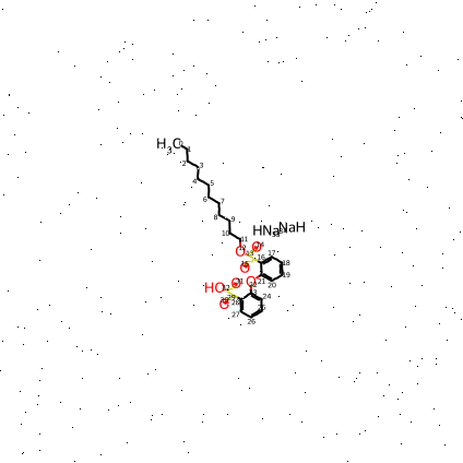 CCCCCCCCCCCCOS(=O)(=O)c1ccccc1Oc1ccccc1S(=O)(=O)O.[NaH].[NaH]